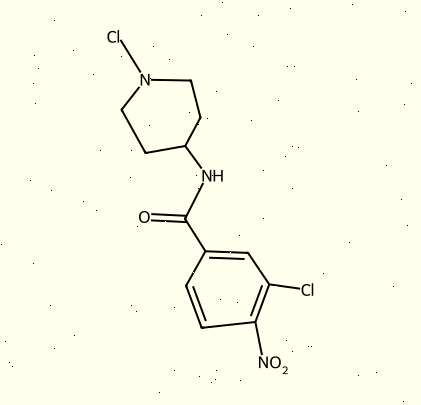 O=C(NC1CCN(Cl)CC1)c1ccc([N+](=O)[O-])c(Cl)c1